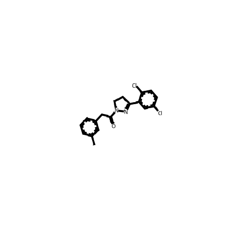 Cc1cccc(CC(=O)N2CCC(c3cc(Cl)ccc3Cl)=N2)c1